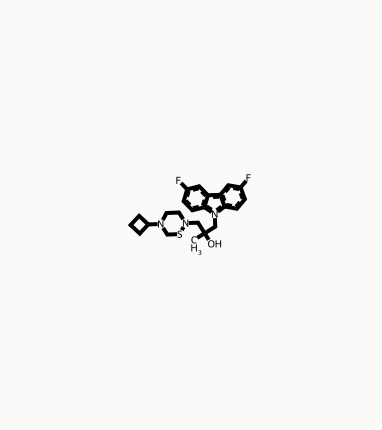 CC(O)(CN1CCN(C2CCC2)CS1)Cn1c2ccc(F)cc2c2cc(F)ccc21